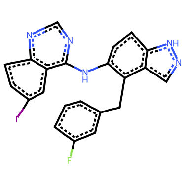 Fc1cccc(Cc2c(Nc3ncnc4ccc(I)cc34)ccc3[nH]ncc23)c1